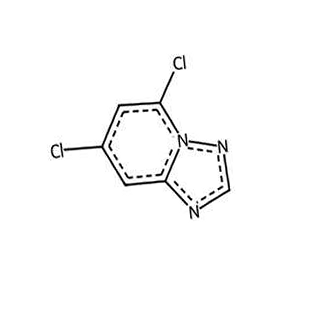 Clc1cc(Cl)n2ncnc2c1